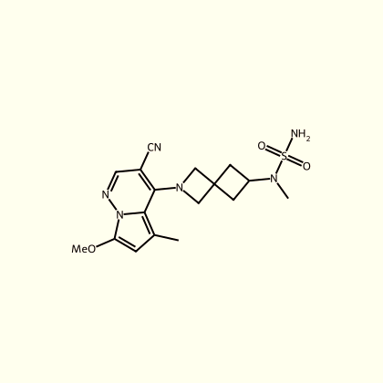 COc1cc(C)c2c(N3CC4(CC(N(C)S(N)(=O)=O)C4)C3)c(C#N)cnn12